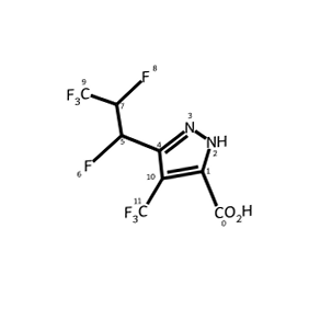 O=C(O)c1[nH]nc(C(F)C(F)C(F)(F)F)c1C(F)(F)F